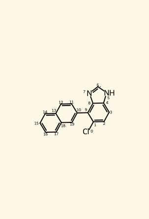 Clc1ccc2[nH][c]nc2c1-c1ccc2ccccc2c1